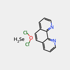 ClOCl.[SeH2].c1cnc2c(c1)ccc1cccnc12